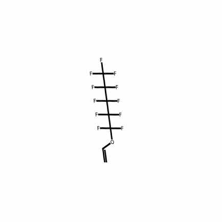 C=COC(F)(F)C(F)(F)C(F)(F)C(F)(F)C(F)(F)F